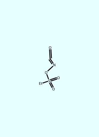 CCS(=O)(=O)ON=C=O